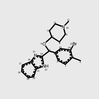 Cc1ccc(C(OC2CCN(C)CC2)c2nc3ccccc3[nH]2)cc1Br